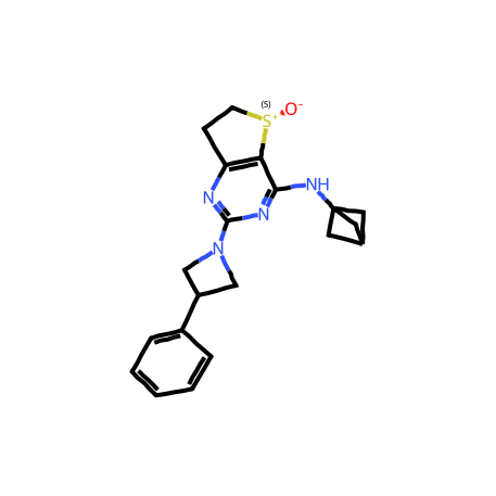 [O-][S@+]1CCc2nc(N3CC(c4ccccc4)C3)nc(NC34CC(C3)C4)c21